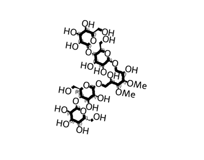 CO[C@@H]([C@H](OC)[C@H](O)CO[C@@H]1O[C@H](CO)[C@@H](O[C@@H]2O[C@H](CO)[C@H](O)[C@H](O)[C@H]2O)[C@H](O)[C@H]1O)[C@H](O)CO[C@@H]1O[C@H](CO)[C@@H](O[C@@H]2O[C@H](CO)[C@H](O)[C@H](O)[C@H]2O)[C@H](O)[C@H]1O